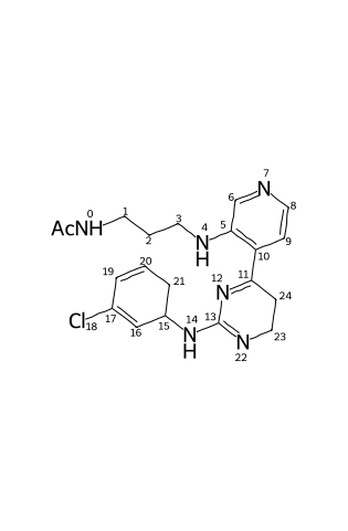 CC(=O)NCCCNc1cnccc1C1=NC(NC2C=C(Cl)C=CC2)=NCC1